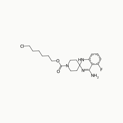 NC1=NC2(CCN(C(=O)OCCCCCCCl)CC2)Nc2cccc(F)c21